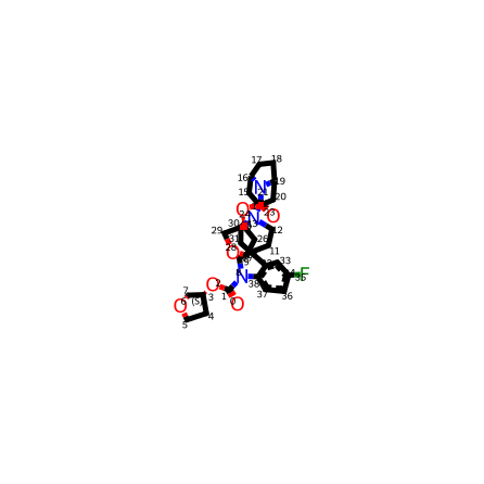 O=C(O[C@H]1CCOC1)N1CC2(CCN(C3CC4CCC(C3)N4C(=O)O[C@H]3CCOC3)CC2)c2cc(F)ccc21